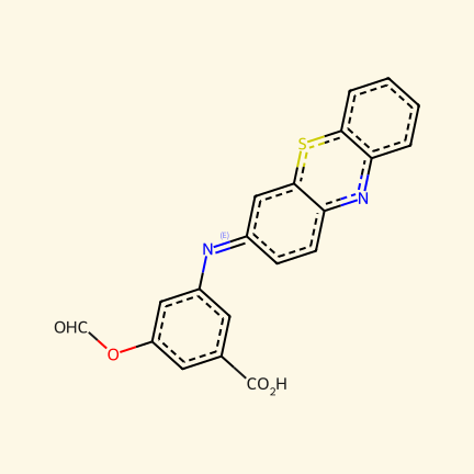 O=COc1cc(/N=c2\ccc3nc4ccccc4sc-3c2)cc(C(=O)O)c1